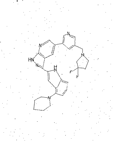 FC1(F)CCN(Cc2cncc(-c3cnc4[nH]nc(-c5cc6c(N7CCCCC7)cccc6[nH]5)c4c3)c2)C1